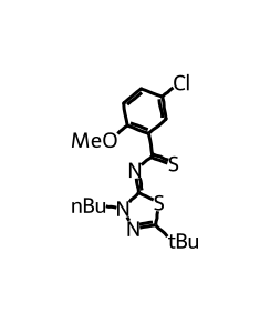 CCCCn1nc(C(C)(C)C)sc1=NC(=S)c1cc(Cl)ccc1OC